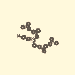 N#Cc1ccc(-c2ccc(-c3nc(-c4cccc(-c5ccc(-n6c7ccccc7c7cc(-c8ccc9c(c8)c8ccccc8n9-c8ccccc8)ccc76)cc5)c4)cc(-c4cccc(-n5c6ccccc6c6cc(-c7ccc8c(c7)c7ccccc7n8-c7ccccc7)ccc65)c4)n3)cc2)cc1